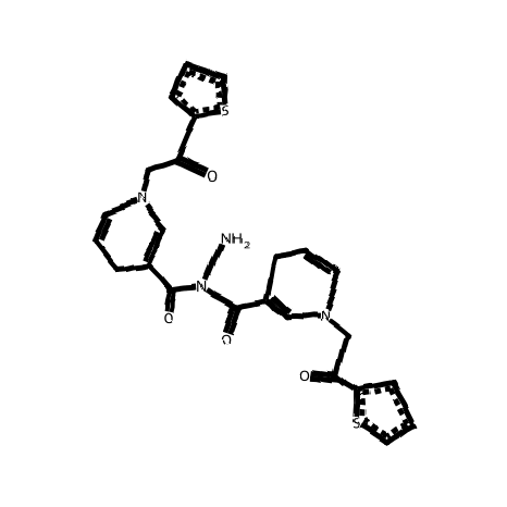 NN(C(=O)C1=CN(CC(=O)c2cccs2)C=CC1)C(=O)C1=CN(CC(=O)c2cccs2)C=CC1